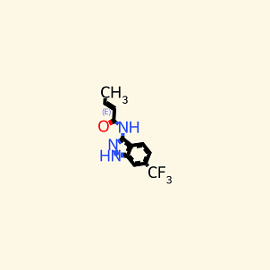 C/C=C/C(=O)Nc1n[nH]c2cc(C(F)(F)F)ccc12